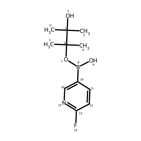 CC(C)(O)C(C)(C)OB(O)c1ccc(F)nc1